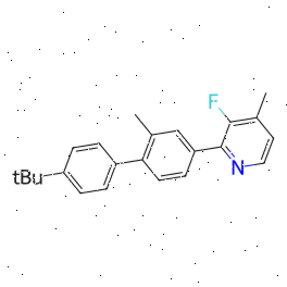 Cc1cc(-c2nccc(C)c2F)ccc1-c1ccc(C(C)(C)C)cc1